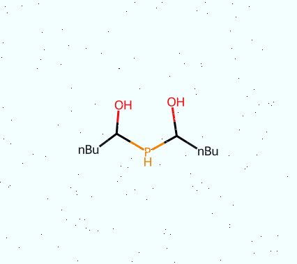 CCCCC(O)PC(O)CCCC